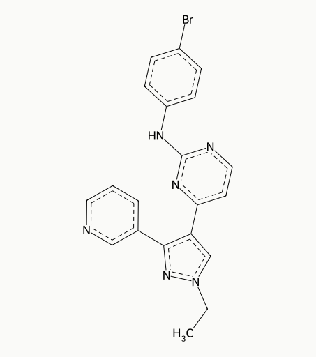 CCn1cc(-c2ccnc(Nc3ccc(Br)cc3)n2)c(-c2cccnc2)n1